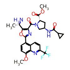 COC(=O)[C@@H]1C[C@@H](NC(=O)C2CC2)CN1C(=O)c1nc(-c2ccc(OC)c3nc(C(F)(F)F)ccc23)oc1[C@H](C)N